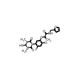 C=C(Oc1cc(N2C(=O)N(C)C(S)N(C)C2=O)c(F)cc1Cl)C(=O)NCc1ccco1